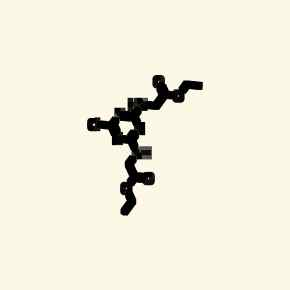 CCOC(=O)CNc1nc(Cl)nc(NCC(=O)OCC)n1